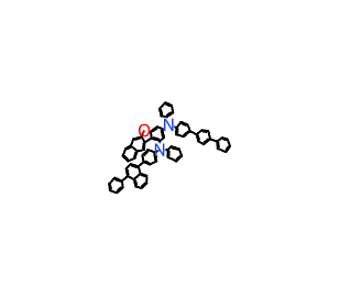 c1ccc(-c2ccc(-c3ccc(N(c4ccccc4)c4cc(N(c5ccccc5)c5ccc(-c6ccc(-c7ccccc7)c7ccccc67)cc5)c5c(c4)oc4cc6ccccc6cc45)cc3)cc2)cc1